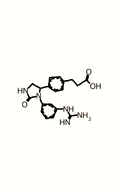 N=C(N)Nc1cccc(N2C(=O)NCC2c2ccc(CCC(=O)O)cc2)c1